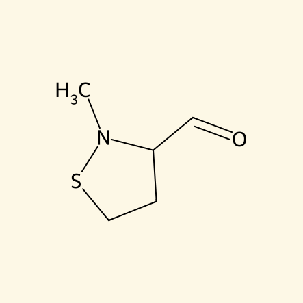 CN1SCCC1C=O